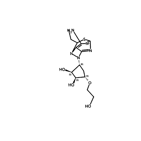 CCC1Sc2nc(N)c3c(n2)n([C@@H]2C[C@H](OCCO)[C@@H](O)[C@H]2O)n31